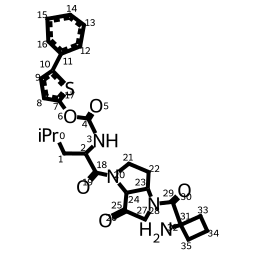 CC(C)CC(NC(=O)Oc1ccc(-c2ccccc2)s1)C(=O)N1CCC2C1C(=O)CN2C(=O)C1(N)CCC1